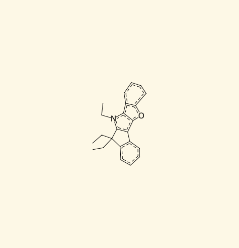 CCn1c2c(c3oc4ccccc4c31)-c1ccccc1C2(CC)CC